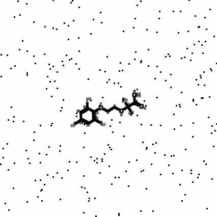 O=C(O)C(F)(F)OCCOc1c(I)cc(I)cc1I